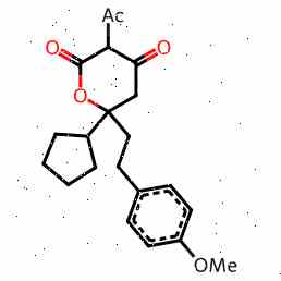 COc1ccc(CCC2(C3CCCC3)CC(=O)C(C(C)=O)C(=O)O2)cc1